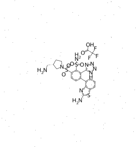 NC[C@@H]1CCN(S(=O)(=O)c2ccc(-c3cccc4sc(N)nc34)c(-c3nnn[nH]3)c2S(N)(=O)=O)C1.O=C(O)C(F)(F)F